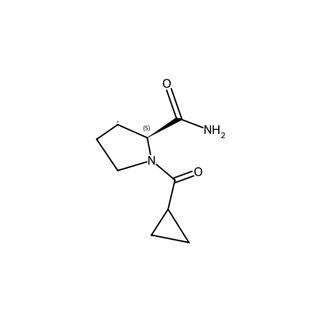 NC(=O)[C@@H]1[CH]CCN1C(=O)C1CC1